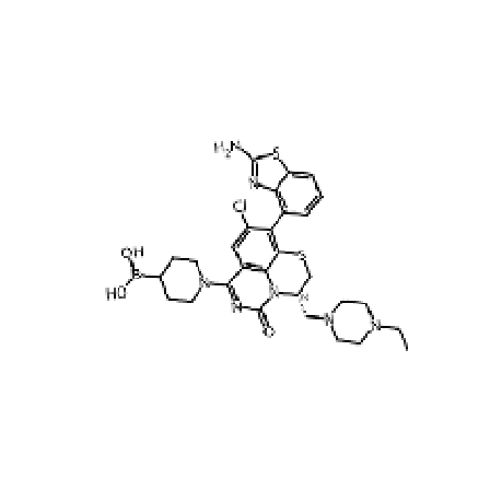 CCN1CCN(C[C@H]2CSc3c(-c4cccc5sc(N)nc45)c(Cl)cc4c(N5CCC(B(O)O)CC5)nc(=O)n2c34)CC1